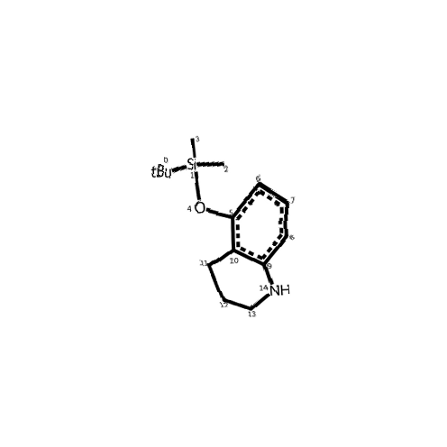 CC(C)(C)[Si](C)(C)Oc1cccc2c1CCCN2